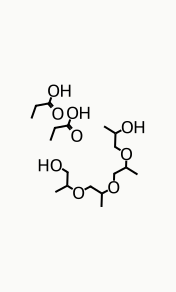 CC(O)COC(C)COC(C)COC(C)CO.CCC(=O)O.CCC(=O)O